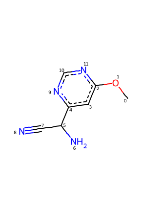 COc1cc(C(N)C#N)ncn1